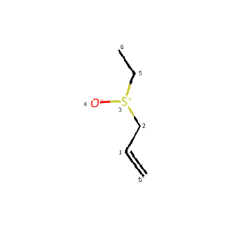 C=CC[S+]([O-])CC